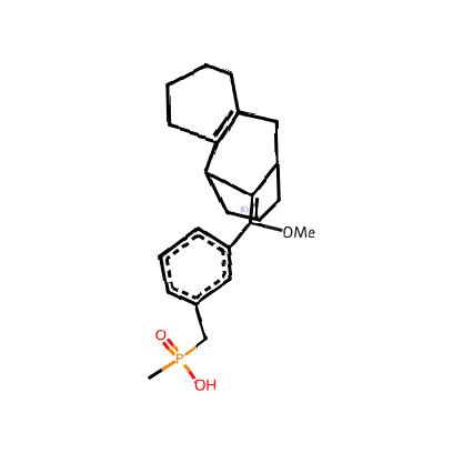 CO/C(=C1\C2CCCC1C1=C(CCCC1)C2)c1cccc(CP(C)(=O)O)c1